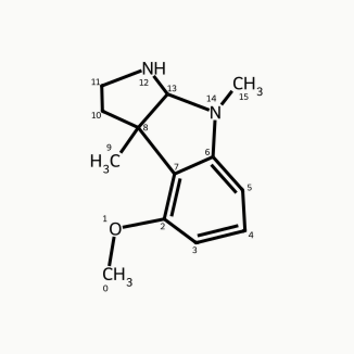 COc1cccc2c1C1(C)CCNC1N2C